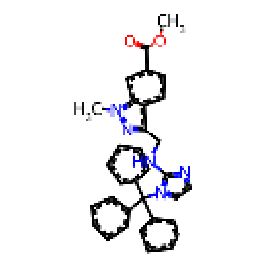 COC(=O)c1ccc2c(CNc3nccn3C(c3ccccc3)(c3ccccc3)c3ccccc3)nn(C)c2c1